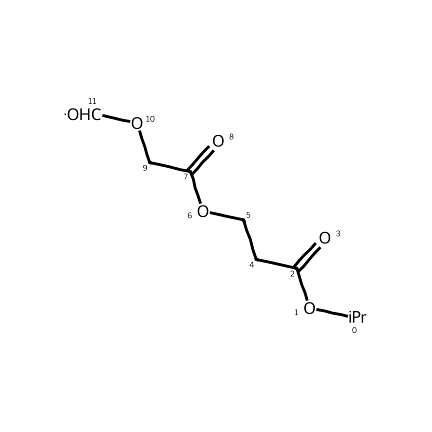 CC(C)OC(=O)CCOC(=O)CO[C]=O